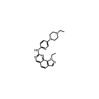 CCN1CCN(c2ccc(Nc3ncc4ccc5cnn(CC)c5c4n3)nc2)CC1